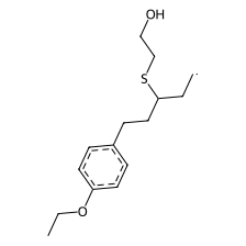 [CH2]CC(CCc1ccc(OCC)cc1)SCCO